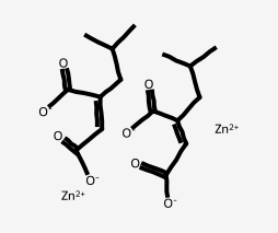 CC(C)CC(=CC(=O)[O-])C(=O)[O-].CC(C)CC(=CC(=O)[O-])C(=O)[O-].[Zn+2].[Zn+2]